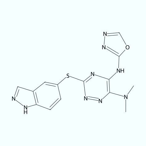 CN(C)c1nnc(Sc2ccc3[nH]ncc3c2)nc1Nc1nnco1